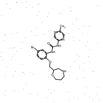 Cc1cnc(NC(=O)Nc2cc(Br)ccc2OCC2CNCCCO2)cn1